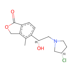 Cc1c([C@@H](O)CN2CC[C@H](Cl)C2)ccc2c1COC2=O